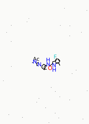 CC(=O)N(C)C1CN([C@H]2CCC[C@@H](NC(=O)C3Cc4c(F)ccc(C)c4N3)C2)C1